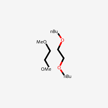 CCCCOCCOCCCC.COCCOC